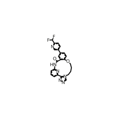 O=C1Nc2cccc(n2)-c2nncn2CCCCOc2ccc(-c3ccc(C(F)F)nc3)cc21